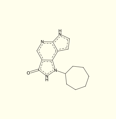 O=c1[nH]n(C2CCCCCC2)c2c1cnc1[nH]ccc12